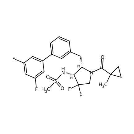 CC1(C(=O)N2CC(F)(F)[C@H](NS(C)(=O)=O)[C@@H]2Cc2cccc(-c3cc(F)cc(F)c3)c2)CC1